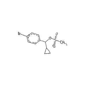 CS(=O)(=O)OC(c1ccc(Br)cc1)C1CC1